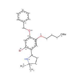 COCCCOc1cc(C2CCC(C)(C)N2)c(Br)cc1OCc1ccccc1